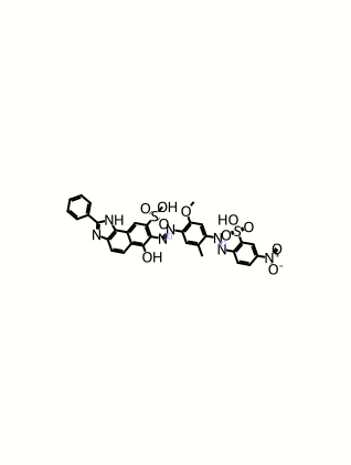 COc1cc(/N=N/c2ccc([N+](=O)[O-])cc2S(=O)(=O)O)c(C)cc1/N=N/c1c(S(=O)(=O)O)cc2c(ccc3nc(-c4ccccc4)[nH]c32)c1O